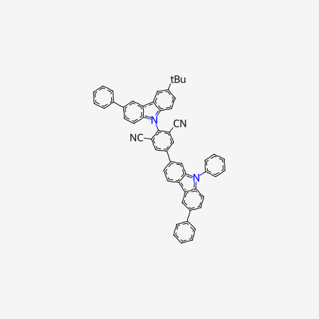 CC(C)(C)c1ccc2c(c1)c1cc(-c3ccccc3)ccc1n2-c1c(C#N)cc(-c2ccc3c4cc(-c5ccccc5)ccc4n(-c4ccccc4)c3c2)cc1C#N